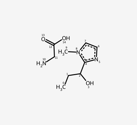 CCC(O)c1nccn1C.NCC(=O)O